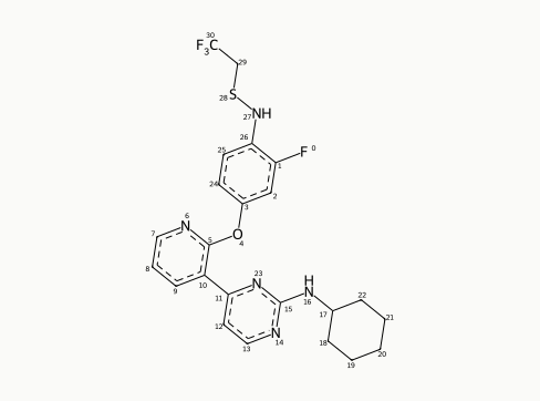 Fc1cc(Oc2ncccc2-c2ccnc(NC3CCCCC3)n2)ccc1NSCC(F)(F)F